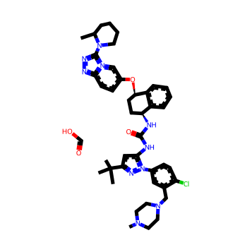 CC1CCCCN1c1nnc2ccc(O[C@@H]3CC[C@H](NC(=O)Nc4cc(C(C)(C)C)nn4-c4ccc(Cl)c(CN5CCN(C)CC5)c4)c4ccccc43)cn12.O=CO